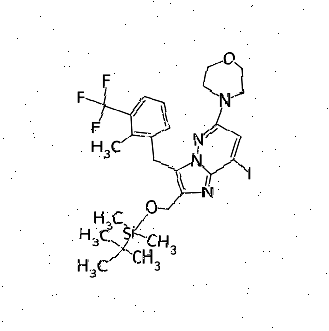 Cc1c(Cc2c(CO[Si](C)(C)C(C)(C)C)nc3c(I)cc(N4CCOCC4)nn23)cccc1C(F)(F)F